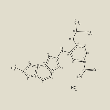 Cc1cc2ccc3sc(Nc4cc(C(N)=O)ccc4OC(C)C)nc3c2o1.Cl